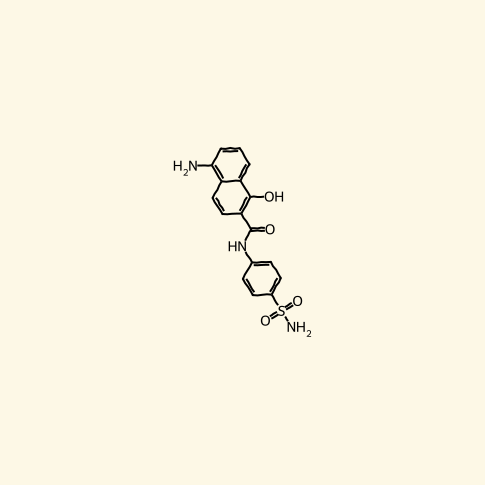 Nc1cccc2c(O)c(C(=O)Nc3ccc(S(N)(=O)=O)cc3)ccc12